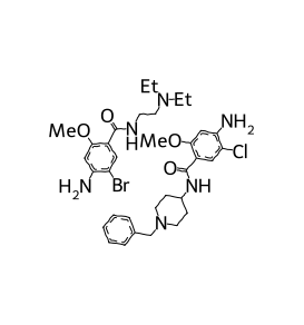 CCN(CC)CCNC(=O)c1cc(Br)c(N)cc1OC.COc1cc(N)c(Cl)cc1C(=O)NC1CCN(Cc2ccccc2)CC1